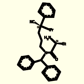 CC[C@H](N)C(=O)N(CCC[C@@](C#N)(c1ccccc1)C(C)C)C(c1ccccc1)c1ccccc1